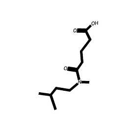 CC(C)CCN(C)C(=O)CCCC(=O)O